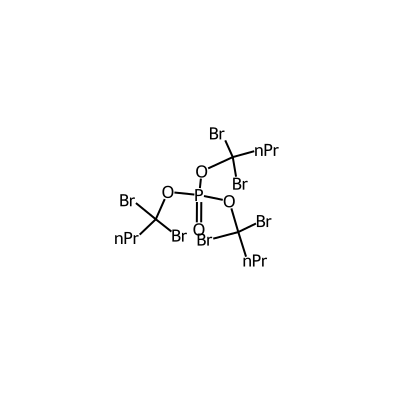 CCCC(Br)(Br)OP(=O)(OC(Br)(Br)CCC)OC(Br)(Br)CCC